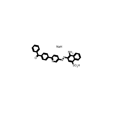 Nc1c(N=Nc2ccc(-c3ccc(C(=O)c4ccccc4)cc3)nc2)cc(S(=O)(=O)O)c2ccccc12.[NaH]